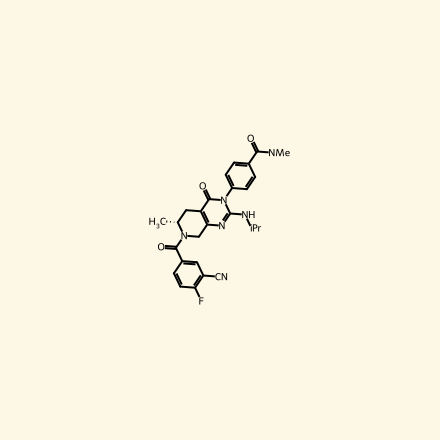 CNC(=O)c1ccc(-n2c(NC(C)C)nc3c(c2=O)C[C@@H](C)N(C(=O)c2ccc(F)c(C#N)c2)C3)cc1